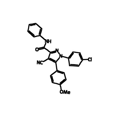 COc1ccc(-c2c(C#N)c(C(=O)Nc3ccccc3)nn2-c2ccc(Cl)cc2)cc1